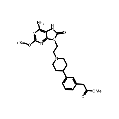 CCCCOc1nc(N)c2[nH]c(=O)n(CCN3CCC(c4cccc(CC(=O)OC)c4)CC3)c2n1